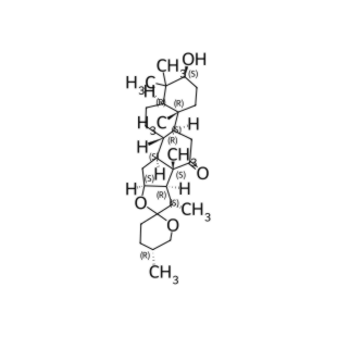 C[C@@H]1CCC2(OC1)O[C@H]1C[C@H]3[C@@H]4CC[C@H]5C(C)(C)[C@@H](O)CC[C@]5(C)[C@H]4CC(=O)[C@]3(C)[C@H]1[C@@H]2C